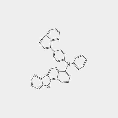 c1ccc(N(c2ccc(-c3cccc4ccccc34)cc2)c2cccc3c2ccc2c4ccccc4sc32)cc1